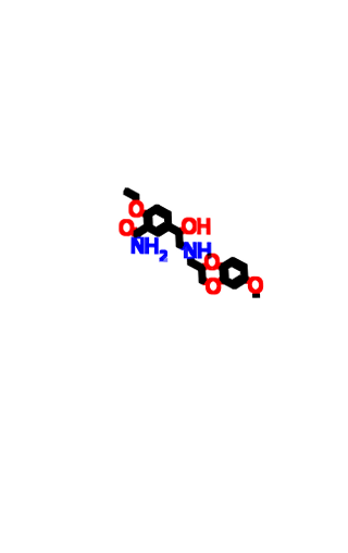 CCOc1ccc(C(O)CNCC2COc3cc(OC)ccc3O2)cc1C(N)=O